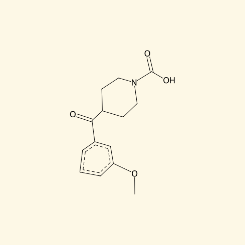 COc1cccc(C(=O)C2CCN(C(=O)O)CC2)c1